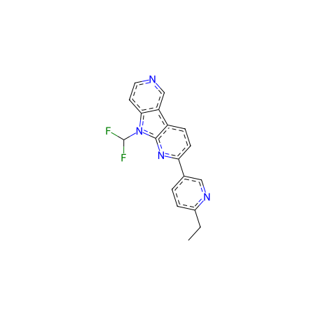 CCc1ccc(-c2ccc3c4cnccc4n(C(F)F)c3n2)cn1